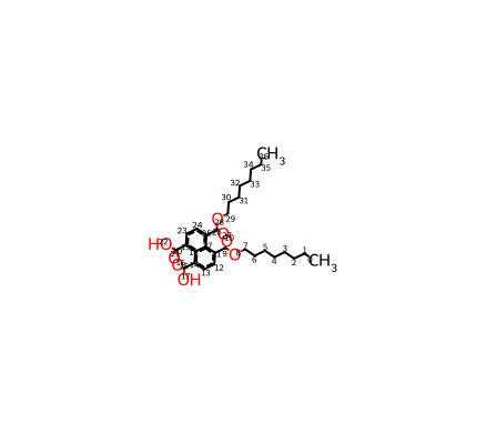 CCCCCCCCOC(=O)c1ccc(C(=O)O)c2c(C(=O)O)ccc(C(=O)OCCCCCCCC)c12